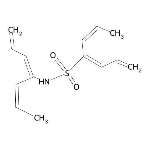 C=C/C=C(\C=C/C)NS(=O)(=O)C(/C=C\C)=C/C=C